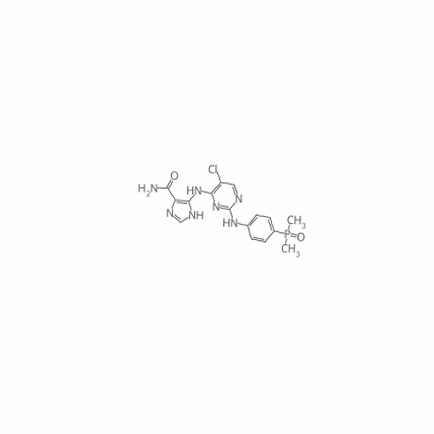 CP(C)(=O)c1ccc(Nc2ncc(Cl)c(Nc3[nH]cnc3C(N)=O)n2)cc1